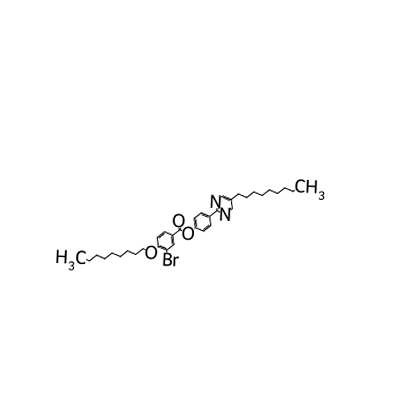 CCCCCCCCCOc1ccc(C(=O)Oc2ccc(-c3ncc(CCCCCCCCC)cn3)cc2)cc1Br